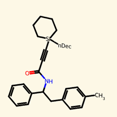 CCCCCCCCCC[Si]1(C#CC(=O)NC(Cc2ccc(C)cc2)c2ccccc2)CCCCC1